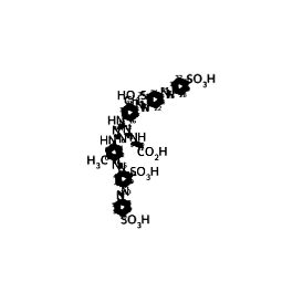 Cc1cc(Nc2nc(NCCC(=O)O)nc(Nc3ccc(N=Nc4ccc(N=Nc5ccc(S(=O)(=O)O)cc5)cc4S(=O)(=O)O)c(C)c3)n2)ccc1N=Nc1ccc(N=Nc2ccc(S(=O)(=O)O)cc2)cc1S(=O)(=O)O